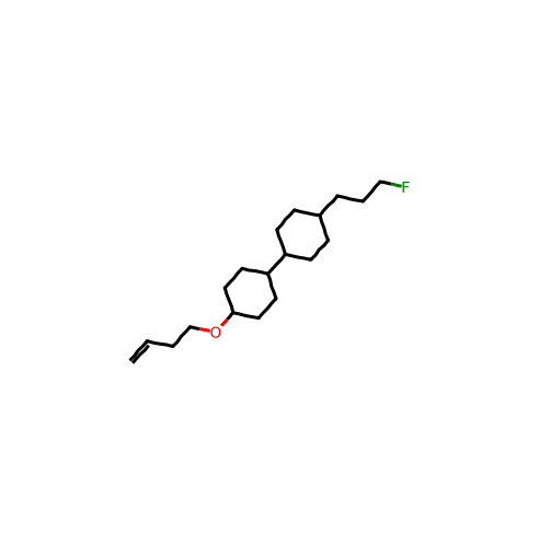 C=CCCOC1CCC(C2CCC(CCCF)CC2)CC1